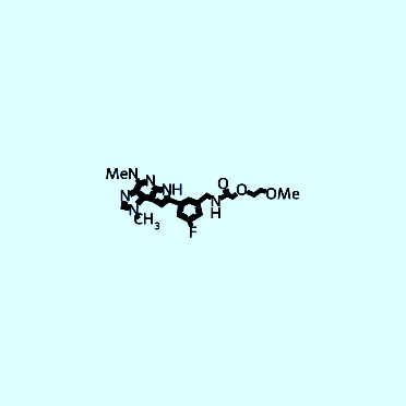 CNc1nc2[nH]c(-c3cc(F)cc(CNC(=O)COCCOC)c3)cc2c2c1ncn2C